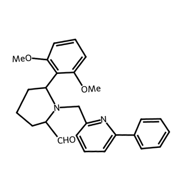 COc1cccc(OC)c1C1CCCC(C=O)N1Cc1cccc(-c2ccccc2)n1